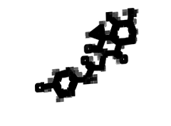 O=C(CN1C(=O)c2ccc(Br)c(F)c2C2(CC2)C1=O)Nc1ncc(Cl)cn1